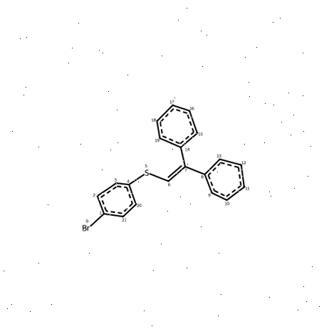 Brc1ccc(SC=C(c2ccccc2)c2ccccc2)cc1